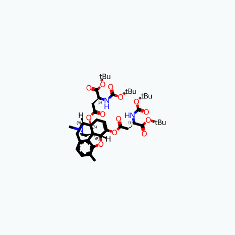 Cc1ccc2c3c1O[C@H]1C(OC(=O)C[C@H](NC(=O)OC(C)(C)C)C(=O)OC(C)(C)C)=CC[C@@]4(OC(=O)C[C@H](NC(=O)OC(C)(C)C)C(=O)OC(C)(C)C)[C@@H](C2)N(C)CC[C@]314